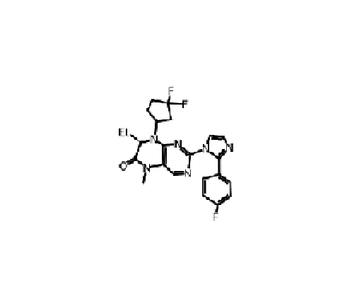 CC[C@@H]1C(=O)N(C)c2cnc(-n3ccnc3-c3ccc(F)cc3)nc2N1C1CCC(F)(F)C1